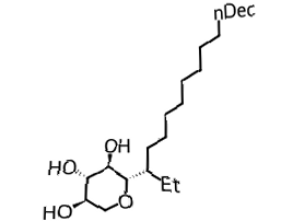 CCCCCCCCCCCCCCCCCCC(CC)[C@@H]1OC[C@@H](O)[C@H](O)[C@H]1O